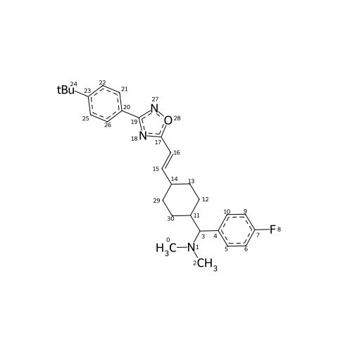 CN(C)C(c1ccc(F)cc1)C1CCC(C=Cc2nc(-c3ccc(C(C)(C)C)cc3)no2)CC1